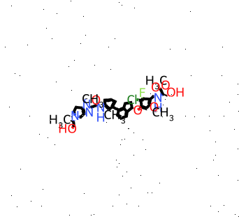 COC(=O)[C@@H](CO)NCc1c(OC)cc(O[C@@H]2CCc3c(-c4cccc(NC(=O)c5nc6c(n5C)CCN([C@H](C)CO)C6)c4C)cccc32)c(Cl)c1F